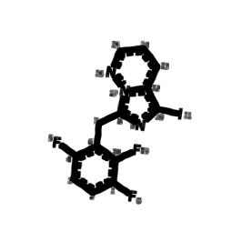 Fc1ccc(F)c(Cc2nc(I)c3cccnn23)c1F